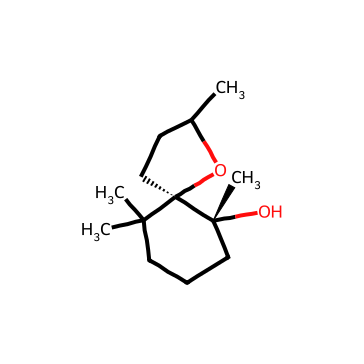 CC1CC[C@@]2(O1)C(C)(C)CCC[C@@]2(C)O